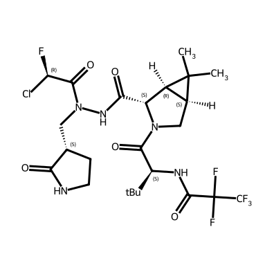 CC(C)(C)[C@H](NC(=O)C(F)(F)C(F)(F)F)C(=O)N1C[C@H]2[C@@H]([C@H]1C(=O)NN(C[C@@H]1CCNC1=O)C(=O)[C@H](F)Cl)C2(C)C